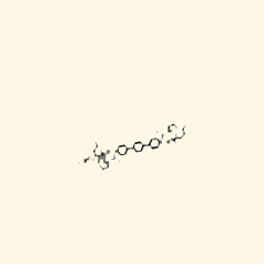 CC[C@H](C)[C@H](C)C(=O)N1CCC[C@H]1c1nc2cc(-c3ccc(-c4ccc5[nH]c([C@@H]6CCCN6C(=O)[C@@H](NC(=O)OC)[C@@H](C)CC)nc5c4)cc3)ccc2[nH]1